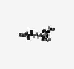 CCCCOC(=O)N[C@@H](CCCCNC(=O)OC(C)(C)C)C(=O)O